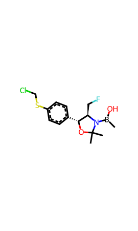 CB(O)N1[C@H](CF)[C@@H](c2ccc(SCCl)cc2)OC1(C)C